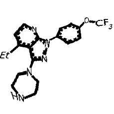 CCc1ccnc2c1c(N1CCNCC1)nn2-c1ccc(OC(F)(F)F)cc1